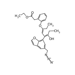 CCOC(=O)Cc1ccccc1O/C(=C/C(=C(/O)CC)c1cc(CN=[N+]=[N-])cc2ccoc12)CC